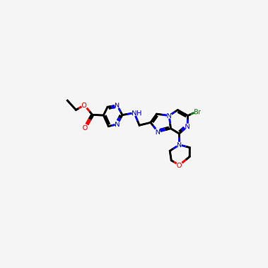 CCOC(=O)c1cnc(NCc2cn3cc(Br)nc(N4CCOCC4)c3n2)nc1